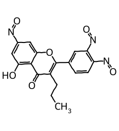 CCCc1c(-c2ccc(N=O)c(N=O)c2)oc2cc(N=O)cc(O)c2c1=O